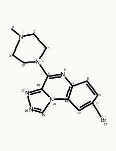 CN1CCN(c2nc3ccc(Br)cc3n3cnnc23)CC1